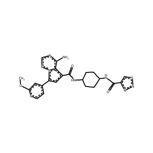 COc1cc(-c2cc(C(=O)NC3CCC(NC(=O)c4csnn4)CC3)c3c(N)ncnn23)ccn1